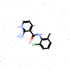 Cc1cccc(Cl)c1NC(=O)c1cccnc1N